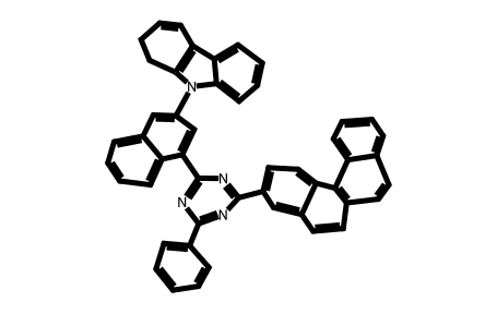 C1=Cc2c(n(-c3cc(-c4nc(-c5ccccc5)nc(-c5ccc6c(ccc7ccc8ccccc8c76)c5)n4)c4ccccc4c3)c3ccccc23)CC1